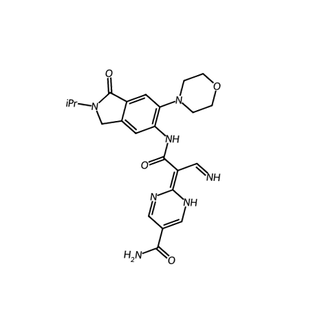 CC(C)N1Cc2cc(NC(=O)/C(C=N)=C3\N=CC(C(N)=O)=CN3)c(N3CCOCC3)cc2C1=O